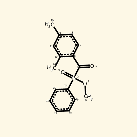 COP(=O)(C(=O)c1ccc(C)cc1C)c1ccccc1